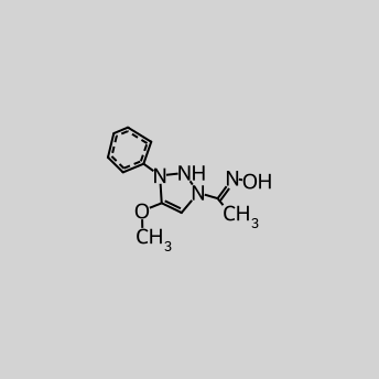 COC1=CN(C(C)=NO)NN1c1ccccc1